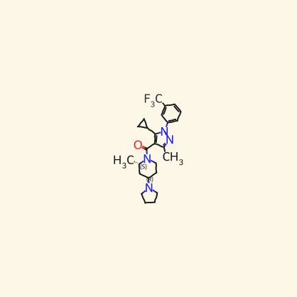 Cc1nn(-c2cccc(C(F)(F)F)c2)c(C2CC2)c1C(=O)N1CC[C@@H](N2CCCC2)C[C@@H]1C